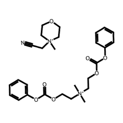 C[N+](C)(CCOC(=O)Oc1ccccc1)CCOC(=O)Oc1ccccc1.C[N+]1(CC#N)CCOCC1